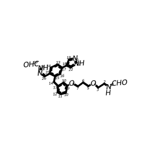 O=CNCCOCCCOc1cccc(Cc2cc(-c3cn[nH]c3)ccc2/C=N\NC=O)c1